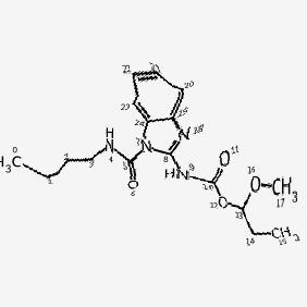 CCCCNC(=O)n1c(NC(=O)OC(CC)OC)nc2ccccc21